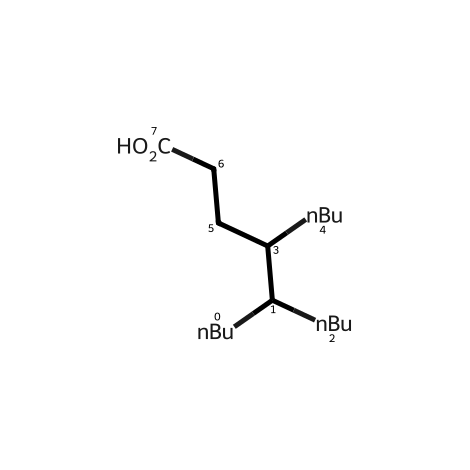 CCCCC(CCCC)C(CCCC)CCC(=O)O